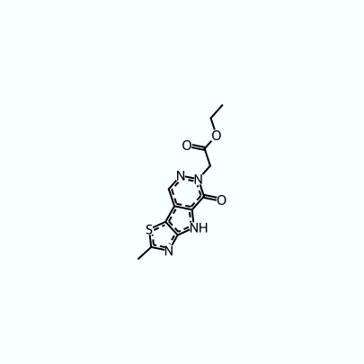 CCOC(=O)Cn1ncc2c([nH]c3nc(C)sc32)c1=O